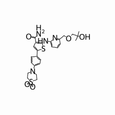 CC(C)(O)COCc1cccc(Nc2sc(-c3ccc(N4CCS(=O)(=O)CC4)cc3)cc2C(N)=O)n1